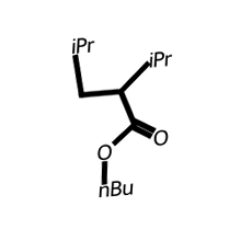 CCCCOC(=O)C(CC(C)C)C(C)C